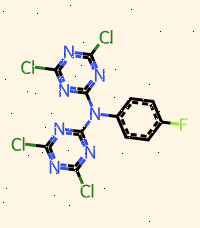 Fc1ccc(N(c2nc(Cl)nc(Cl)n2)c2nc(Cl)nc(Cl)n2)cc1